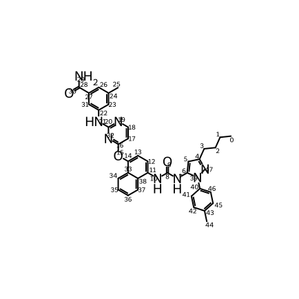 CCCCc1cc(NC(=O)Nc2ccc(Oc3ccnc(Nc4cc(C)cc(C(N)=O)c4)n3)c3ccccc23)n(-c2ccc(C)cc2)n1